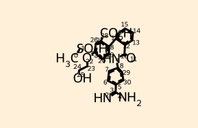 CS(=O)(=O)O.N=C(N)c1ccc(NC(=O)c2ccccc2-c2ccc(OCCO)cc2C(=O)O)cc1